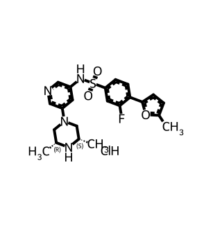 Cc1ccc(-c2ccc(S(=O)(=O)Nc3cncc(N4C[C@@H](C)N[C@@H](C)C4)c3)cc2F)o1.Cl